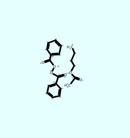 CCCCOC(C)=O.O=C(OOC(=O)c1ccccc1)c1ccccc1